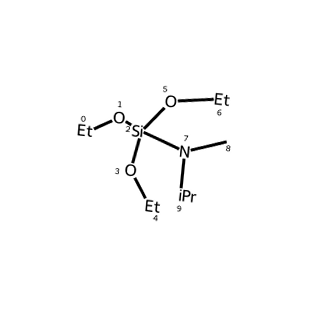 CCO[Si](OCC)(OCC)N(C)C(C)C